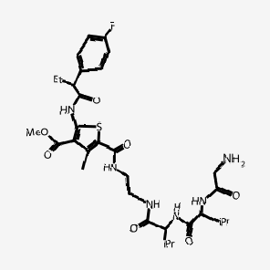 CCC(C(=O)Nc1sc(C(=O)NCCNC(=O)C(NC(=O)C(NC(=O)CN)C(C)C)C(C)C)c(C)c1C(=O)OC)c1ccc(F)cc1